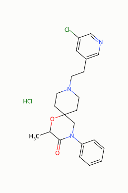 CC1OC2(CCN(CCc3cncc(Cl)c3)CC2)CN(c2ccccc2)C1=O.Cl